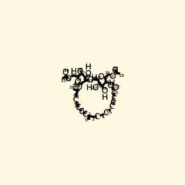 C=C1CCCCCCCCCC(=O)O[C@@H]2C(COC(C)=O)O[C@@H](OC3C(O)[C@H](O)C(COC(C)=O)O[C@H]3OC(C)CCCCCC1)C(O)C2O